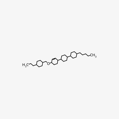 CCCCCC1CCC(C2CCC(C3C=CC(OCC4CCC(CCC)CC4)CC3)CC2)CC1